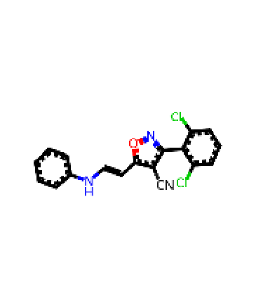 N#Cc1c(-c2c(Cl)cccc2Cl)noc1C=CNc1ccccc1